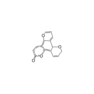 O=c1ccc2c(o1)=C1C=CCOC1C1=CC=COC=21